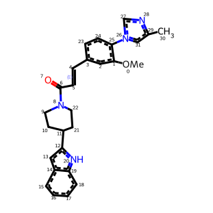 COc1cc(/C=C/C(=O)N2CCC(c3cc4ccccc4[nH]3)CC2)ccc1-n1cnc(C)c1